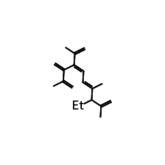 C=C(C)C(=C)/C(=C\C=C(/C)C(CC)C(=C)C)C(=C)C